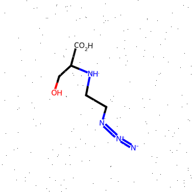 [N-]=[N+]=NCCNC(CO)C(=O)O